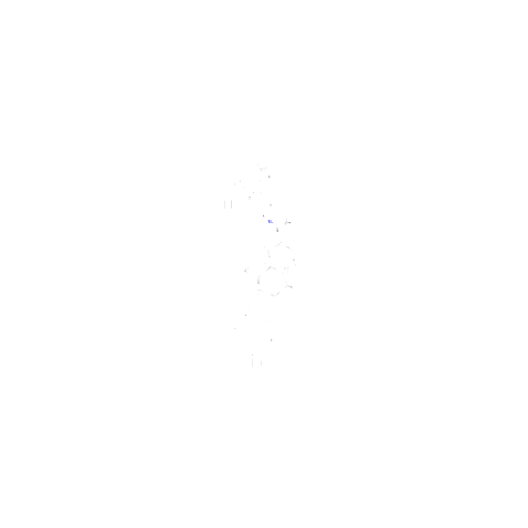 CC[C@H]1CC[C@@H](Oc2ccc3ccc(C(C)NC4CC(C(=O)O)C4(C)C)cc3c2C(F)(F)F)CC1